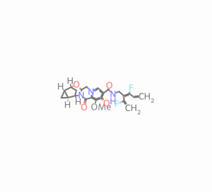 C=C/C(F)=C(/CNC(=O)c1cn2c(c(OC)c1=O)C(=O)N1C(C2)O[C@@H]2C[C@H]1[C@H]1C[C@H]12)C(=C)F